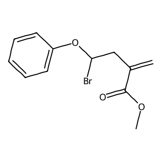 C=C(CC(Br)Oc1ccccc1)C(=O)OC